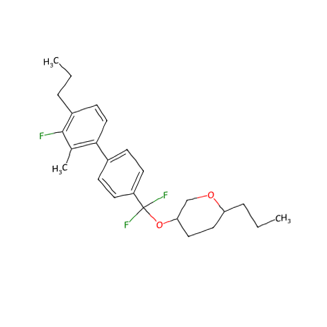 CCCc1ccc(-c2ccc(C(F)(F)OC3CCC(CCC)OC3)cc2)c(C)c1F